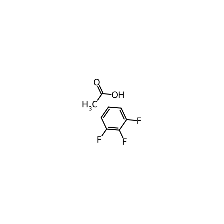 CC(=O)O.Fc1cccc(F)c1F